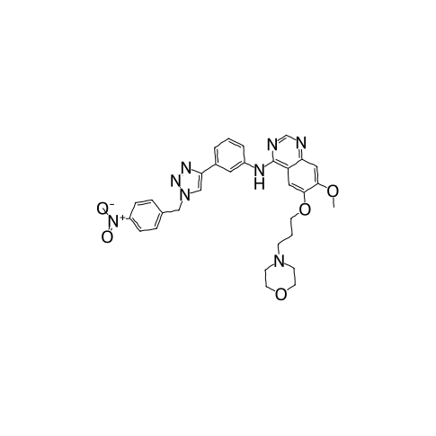 COc1cc2ncnc(Nc3cccc(-c4cn(Cc5ccc([N+](=O)[O-])cc5)nn4)c3)c2cc1OCCCN1CCOCC1